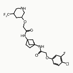 O=C(COc1ccc(Cl)c(F)c1)NC12CCC(NC(=O)COC3CNCC(C(F)(F)F)C3)(C1)C2